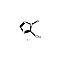 CC(C)n1ncnc1C(=O)[O-].[Li+]